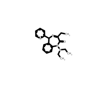 CCC1=NC(c2ccccn2)c2ccccc2N(N(CC)CC)C1=O